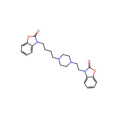 O=c1oc2ccccc2n1CCCCN1CCN(CCn2c(=O)oc3ccccc32)CC1